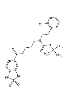 CC(C)(C)OC(=O)N(CCCCC(=O)c1ccc2c(c1)NS(=O)(=O)N2)CCc1ccccc1Cl